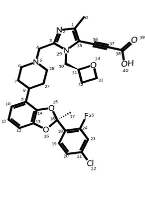 Cc1nc(CN2CCC(c3cccc4c3O[C@@](C)(c3ccc(Cl)cc3F)O4)CC2)n(C[C@@H]2CCO2)c1C#CC(=O)O